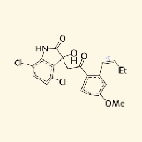 CC/C=C\c1cc(OC)ccc1C(=O)CC1(O)C(=O)Nc2c(Cl)ccc(Cl)c21